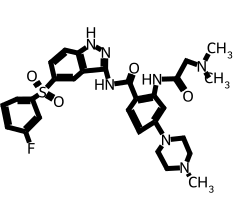 CN(C)CC(=O)Nc1cc(N2CCN(C)CC2)ccc1C(=O)Nc1n[nH]c2ccc(S(=O)(=O)c3cccc(F)c3)cc12